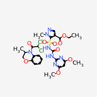 CC1COc2ccccc2N1C(=O)C(Cl)Cl.CCOC(=O)c1cnn(C)c1S(=O)(=O)NC(=O)Nc1nc(OC)cc(OC)n1